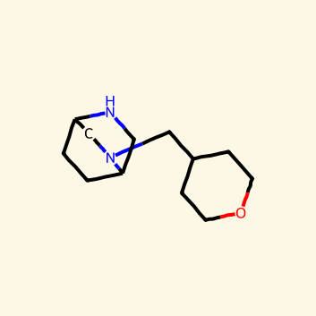 C1CC(CN2CC3CCC2CN3)CCO1